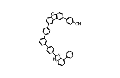 N#Cc1ccc(-c2ccc3oc4ccc(-c5ccc(-c6cccc(-c7ccc(C8=NN9C=CC=C(c%10ccccc%10)C9N8)cc7)c6)cc5)cc4c3c2)cc1